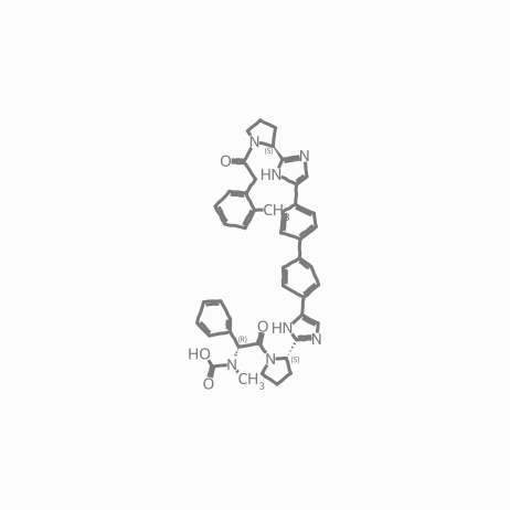 Cc1ccccc1CC(=O)N1CCC[C@H]1c1ncc(-c2ccc(-c3ccc(-c4cnc([C@@H]5CCCN5C(=O)[C@@H](c5ccccc5)N(C)C(=O)O)[nH]4)cc3)cc2)[nH]1